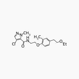 CCOCCc1ccc(OCCNC(=O)c2c(Cl)cnn2C)c(C)c1